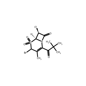 CC1=C(C(=O)C(C)(C)C)N2C(=O)[C@H](Cl)[C@@H]2S(=O)(=O)C1Br